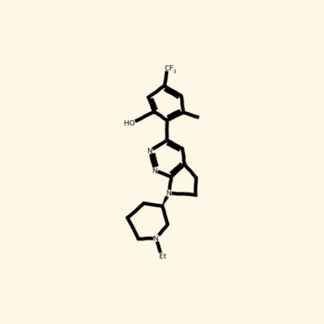 CCN1CCC[C@@H](N2CCc3cc(-c4c(C)cc(C(F)(F)F)cc4O)nnc32)C1